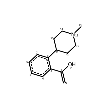 C=C(O)c1ccccc1C1CCN(C)CC1